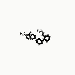 CN1CC[C@]2(CC[C@H](c3cccc(-c4ccccc4COC(F)(F)F)c3)N2)C1=O